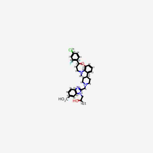 CCC(O)Cn1c(CN2CCC(c3cccc4c3N(C)CCC(c3ccc(Cl)cc3F)O4)CC2)nc2ccc(C(=O)O)cc21